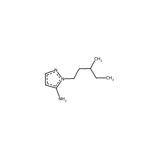 CCC(C)CCn1nccc1N